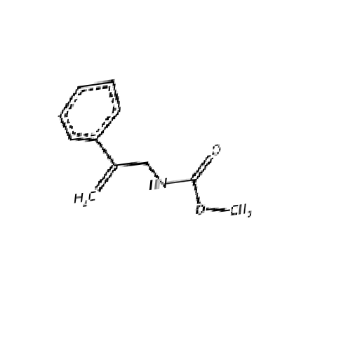 C=C(CNC(=O)OC)c1ccccc1